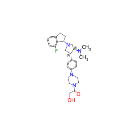 CN(C)[C@@H]1CN(C2CCc3cccc(F)c32)C[C@H]1c1ccc(N2CCN(C(=O)CO)CC2)cc1